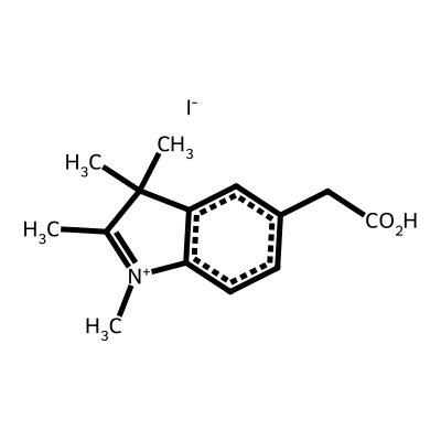 CC1=[N+](C)c2ccc(CC(=O)O)cc2C1(C)C.[I-]